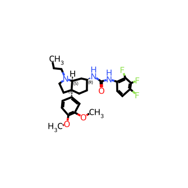 CCCN1CC[C@]2(c3ccc(OC)c(OC)c3)CC[C@@H](NC(=O)Nc3ccc(F)c(F)c3F)C[C@H]12